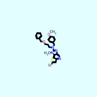 COc1ccc(CN(CCCOCc2ccccc2)c2nc3cnc4cc(Br)sc4c3n2C)cc1